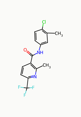 Cc1cc(NC(=O)c2ccc(C(F)(F)F)nc2C)ccc1Cl